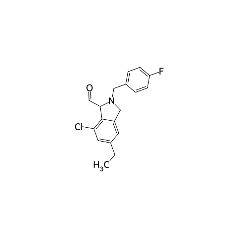 CCc1cc(Cl)c2c(c1)CN(Cc1ccc(F)cc1)C2C=O